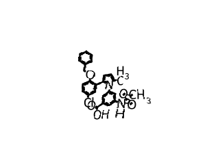 Cc1ccc(-c2cc(Cl)ccc2OCc2ccccc2)n1-c1cc(NS(C)(=O)=O)cc(C(=O)O)c1